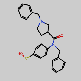 O=C(C1CCN(Cc2ccccc2)C1)N(Cc1ccccc1)c1ccc(SO)cc1